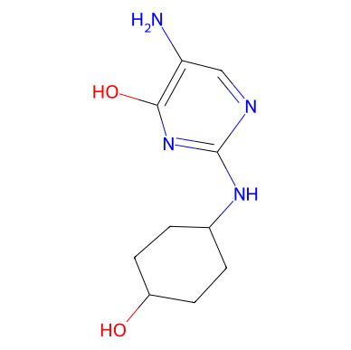 Nc1cnc(NC2CCC(O)CC2)nc1O